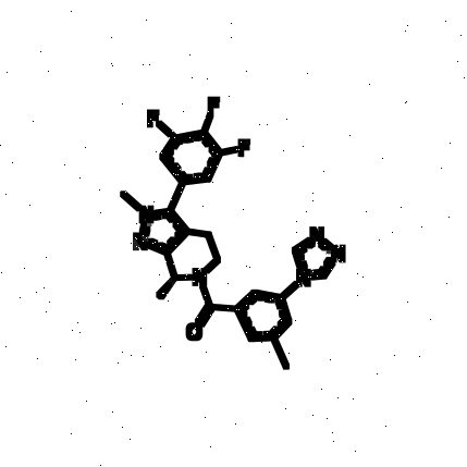 Cc1cc(C(=O)N2CCc3c(nn(C)c3-c3cc(F)c(F)c(F)c3)[C@@H]2C)cc(-n2cnnc2)c1